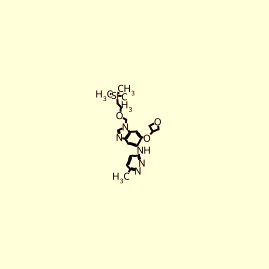 Cc1ccc(Nc2cc3ncn(COCC[Si](C)(C)C)c3cc2OC2COC2)nn1